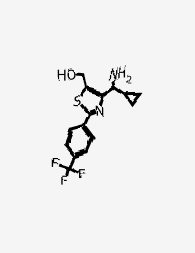 NC(c1nc(-c2ccc(C(F)(F)F)cc2)sc1CO)C1CC1